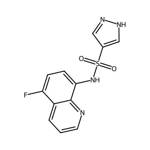 O=S(=O)(Nc1ccc(F)c2cccnc12)c1cn[nH]c1